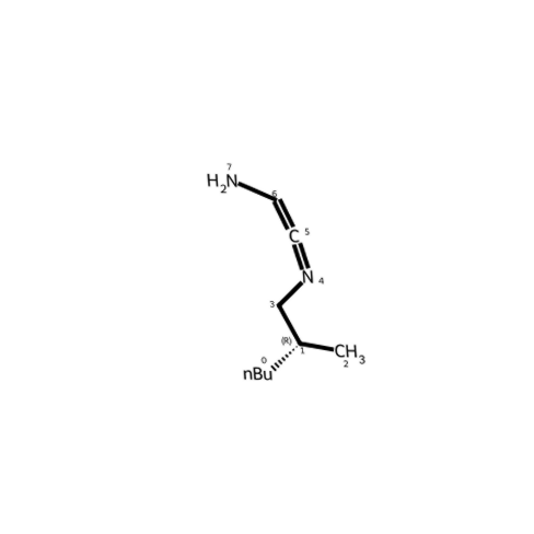 CCCC[C@@H](C)CN=C=CN